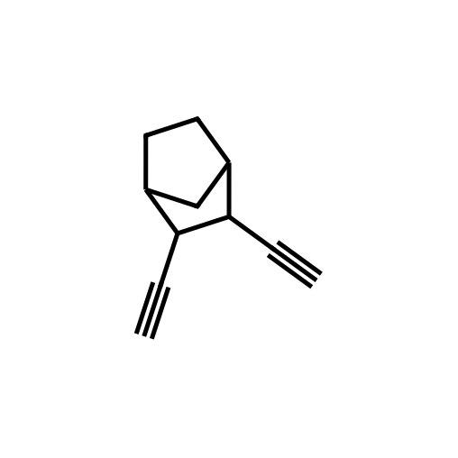 C#CC1C2CCC(C2)C1C#C